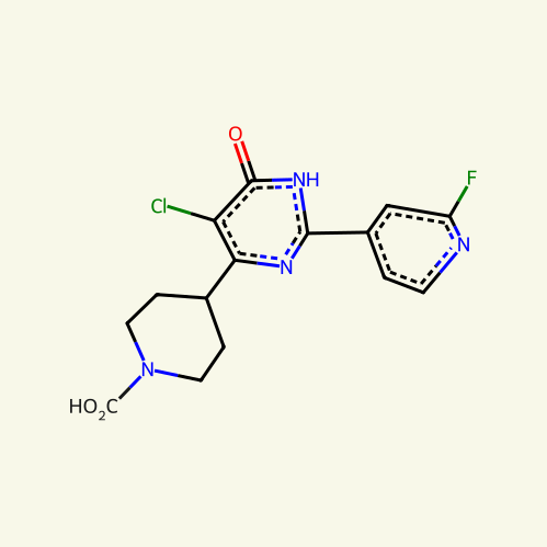 O=C(O)N1CCC(c2nc(-c3ccnc(F)c3)[nH]c(=O)c2Cl)CC1